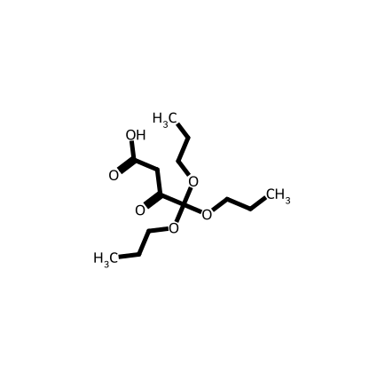 CCCOC(OCCC)(OCCC)C(=O)CC(=O)O